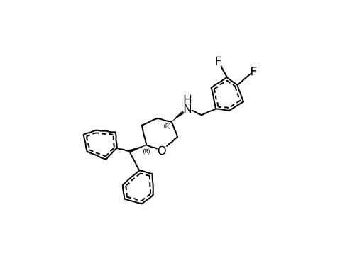 Fc1ccc(CN[C@@H]2CC[C@H](C(c3ccccc3)c3ccccc3)OC2)cc1F